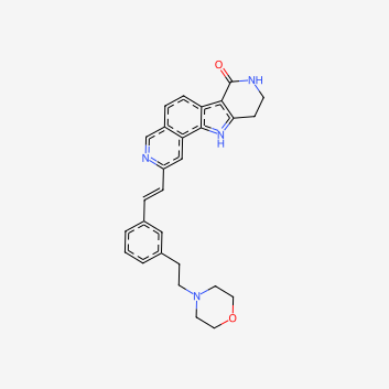 O=C1NCCc2[nH]c3c(ccc4cnc(C=Cc5cccc(CCN6CCOCC6)c5)cc43)c21